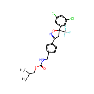 CC(C)COC(=O)NCc1ccc(C2=NOC(c3cc(Cl)cc(Cl)c3)(C(F)(F)F)C2)cc1